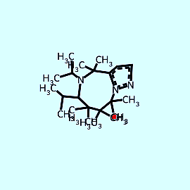 CC(C)C1N(C(C)C)C(C)(C)c2ccnn2C(C)(C)C(C)(C)C1(C)C